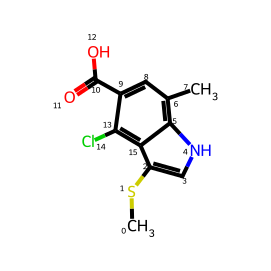 CSc1c[nH]c2c(C)cc(C(=O)O)c(Cl)c12